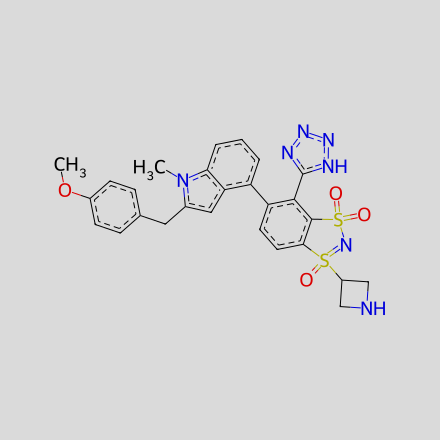 COc1ccc(Cc2cc3c(-c4ccc5c(c4-c4nnn[nH]4)S(=O)(=O)N=S5(=O)C4CNC4)cccc3n2C)cc1